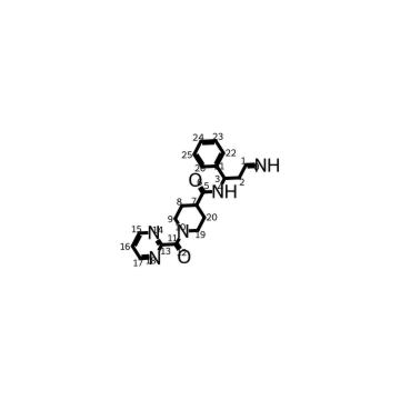 N=CCC(NC(=O)C1CCN(C(=O)c2ncccn2)CC1)c1ccccc1